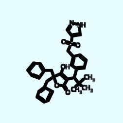 CC(C)(C)C(C1=C(O)C(Cc2ccccc2)(Cc2ccccc2)OC1=O)c1cccc(CS(=O)(=O)c2cn[nH]c2)c1